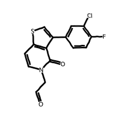 O=CCn1ccc2scc(-c3ccc(F)c(Cl)c3)c2c1=O